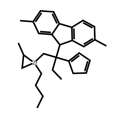 CCC[CH2][Zr]1([CH2]C(CC)(C2=CC=CC2)C2c3cc(C)ccc3-c3ccc(C)cc32)[CH2][CH]1C